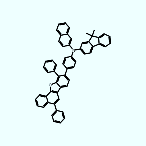 CC1(C)c2ccccc2-c2ccc(N(c3ccc(-c4ccc5c(oc6c7ccccc7c(-c7ccccc7)cc56)c4-c4ccccc4)cc3)c3ccc4ccccc4c3)cc21